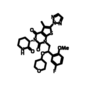 COc1ccc(F)cc1[C@H](Cn1c(=O)n([C@H]2CCCNC2=O)c(=O)c2c(C)c(-n3nccn3)sc21)OC1CCOCC1